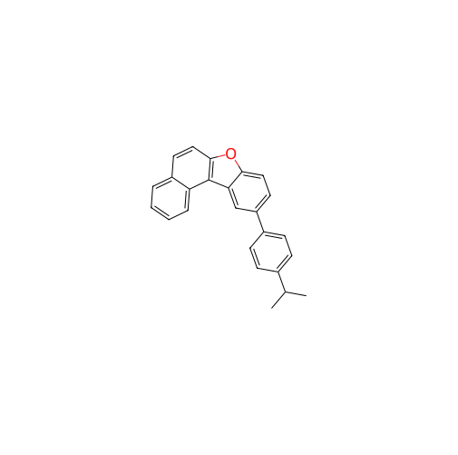 CC(C)c1ccc(-c2ccc3oc4ccc5ccccc5c4c3c2)cc1